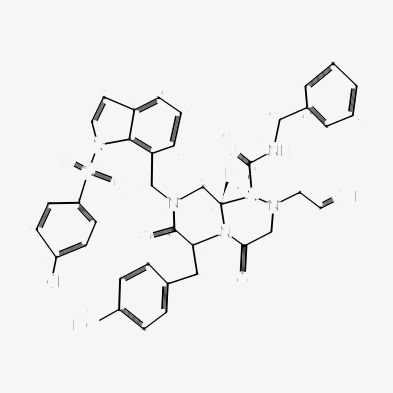 C=CCN1CC(=O)N2C(Cc3ccc(O)cc3)C(=O)N(Cc3cccc4ccn(S(=O)(=O)c5ccc(Cl)cc5)c34)C[C@@H]2N1C(=O)NCc1ccccc1